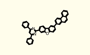 c1ccc(-c2cc(-c3ccccc3)nc(-c3ccc4c(c3)oc3ccc(-c5ccc6c(ccc7ccccc76)c5)cc34)n2)cc1